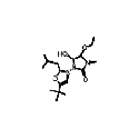 CCOC1C(O)N(N2C=C(C(C)(C)C)OC2CC(C)C)C(=O)N1C